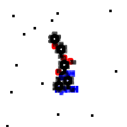 COc1cc([C@@H](Nc2ccc(C(=N)N)cc2)C(=O)NCc2ccccc2)ccc1OCc1cccc(Oc2ccccc2)c1